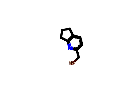 SCc1ccc2c(n1)CCC2